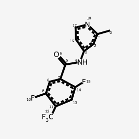 Cc1cc(NC(=O)c2cc(F)c(C(F)(F)F)cc2F)ccn1